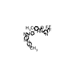 Cc1ccc(C(=O)Nc2cncc(C(F)(F)F)c2)cc1[C@@H]1CCN(c2cnc3cnc(N4CCN(C)CC4)cn23)C1